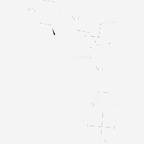 CC(F)(F)c1coc(CNC(=O)C2C(C(=O)N[C@H]3CCNC[C@@H]3F)C3CCC2C32CC2)n1